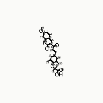 COc1ccc2cc(C(=O)C=Cc3cc(C)c(OC(C)(C)C(=O)O)c(C)c3)c(Cl)nc2c1